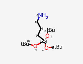 CC(C)(C)O[Si](CCCN)(OC(C)(C)C)OC(C)(C)C